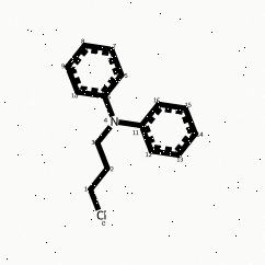 ClCCCN(c1ccccc1)c1ccccc1